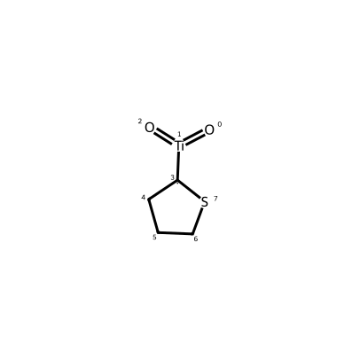 [O]=[Ti](=[O])[C]1CCCS1